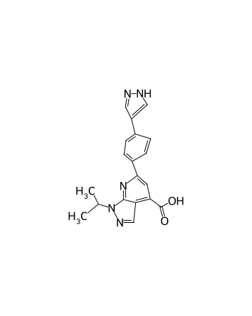 CC(C)n1ncc2c(C(=O)O)cc(-c3ccc(-c4cn[nH]c4)cc3)nc21